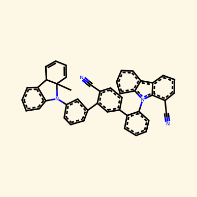 CC12C=CC=CC1c1ccccc1N2c1cccc(-c2cc(-c3ccccc3-n3c4ccccc4c4cccc(C#N)c43)ccc2C#N)c1